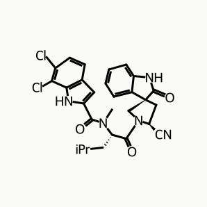 CC(C)C[C@@H](C(=O)N1C[C@]2(C[C@H]1C#N)C(=O)Nc1ccccc12)N(C)C(=O)c1cc2ccc(Cl)c(Cl)c2[nH]1